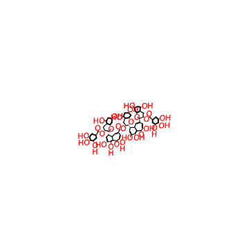 O=C(O[C@@H]1Cc2c(O)cc(O)cc2O[C@@H]1C1C=C(O)C(O)=C2C(=O)C(O)=CC([C@H]3Oc4cc(O)cc(O)c4C[C@H]3OC(=O)c3cc(O)c(O)c(O)c3)=CC21)C1=CC2C(=C(O)C(O)=CC2[C@H]2Oc3cc(O)cc(O)c3C[C@H]2OC(=O)c2cc(O)c(O)c(O)c2)C(=O)C(O)=C1